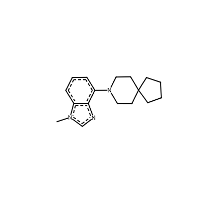 Cn1cnc2c(N3CCC4(CCCC4)CC3)cccc21